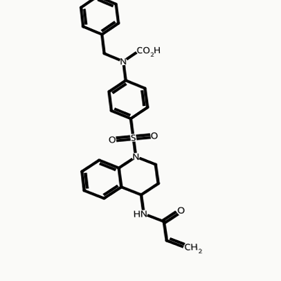 C=CC(=O)NC1CCN(S(=O)(=O)c2ccc(N(Cc3ccccc3)C(=O)O)cc2)c2ccccc21